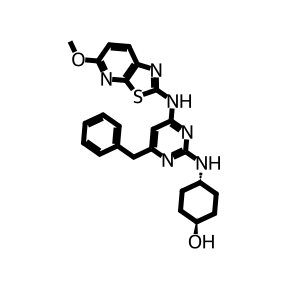 COc1ccc2nc(Nc3cc(Cc4ccccc4)nc(N[C@H]4CC[C@H](O)CC4)n3)sc2n1